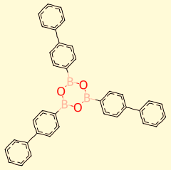 c1ccc(-c2ccc(B3OB(c4ccc(-c5ccccc5)cc4)OB(c4ccc(-c5ccccc5)cc4)O3)cc2)cc1